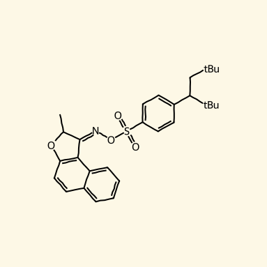 CC1Oc2ccc3ccccc3c2/C1=N\OS(=O)(=O)c1ccc(C(CC(C)(C)C)C(C)(C)C)cc1